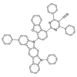 N#Cc1c(-c2ccccc2)nc(-c2ccc(-n3c4ccc(-c5ccccc5)cc4c4cc5c6ccccc6n(-c6ccccc6)c5cc43)c3oc4ccccc4c23)nc1-c1ccccc1